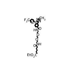 CCOC(=O)CCCCCC(=O)NCCOCCOCCNC(=O)c1ccc2c(c1)c1nn(C)nc1n2-c1ccc(C(F)(F)F)cn1